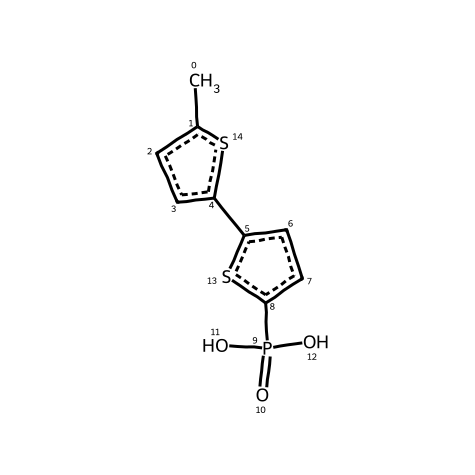 Cc1ccc(-c2ccc(P(=O)(O)O)s2)s1